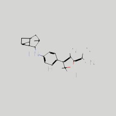 CC1(C)OC(=C(C#N)C#N)C(C#N)=C1c1ccc(NC2C3CC4CC(C3)C42)cc1